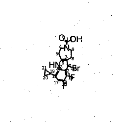 O=C(O)N1CCC2=C(CC1)C(Br)c1c(F)c(F)cc(C3CC3)c1N2